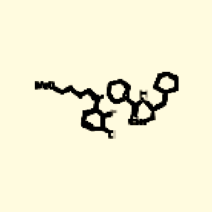 CNC[C@H](CC1CCCCC1)NC(=O)N1CCC[C@@H](C(=CCCCOC)c2cccc(Cl)c2F)C1